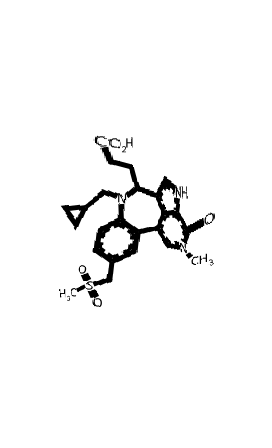 Cn1cc2c3c(c[nH]c3c1=O)C(CCC(=O)O)N(CC1CC1)c1ccc(CS(C)(=O)=O)cc1-2